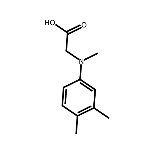 Cc1ccc(N(C)CC(=O)O)cc1C